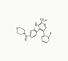 O=C(O)c1ncc(-c2ccccc2F)c2c1[nH]c1cc(C(=O)N3CCOCC3)ccc12